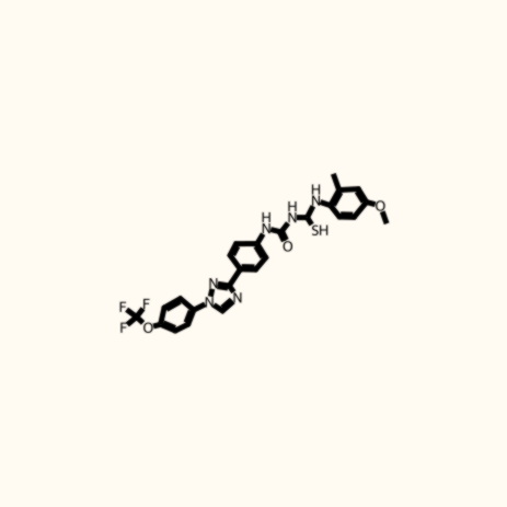 COc1ccc(NC(S)NC(=O)Nc2ccc(-c3ncn(-c4ccc(OC(F)(F)F)cc4)n3)cc2)c(C)c1